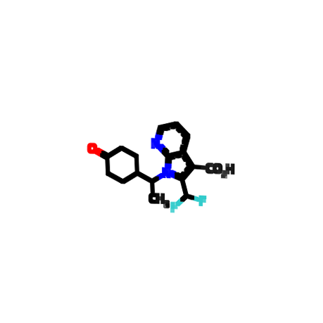 CC(C1CCC(=O)CC1)n1c(C(F)F)c(C(=O)O)c2cccnc21